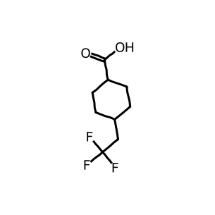 O=C(O)C1CCC(CC(F)(F)F)CC1